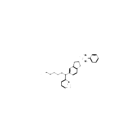 O=C(O)CCCCCC(c1cccnc1)c1ccc2c(c1)CC(NS(=O)(=O)c1ccccc1)C2